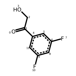 O=C(CO)c1cc(F)cc(F)c1